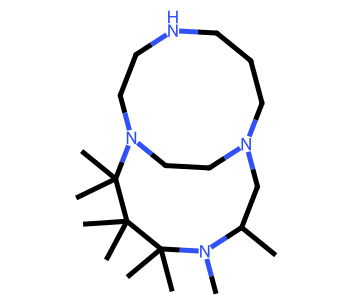 CC1CN2CCCNCCN(CC2)C(C)(C)C(C)(C)C(C)(C)N1C